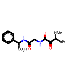 CCCC(NC)C(=O)C(=O)NCC(=O)NC(C(=O)O)c1ccccc1